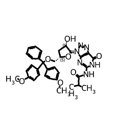 COc1ccc(C(OC[C@@H]2C[C@H](O)[C@H](n3nnc4c(=O)[nH]c(NC(=O)C(C)C)nc43)O2)(c2ccccc2)c2ccc(OC)cc2)cc1